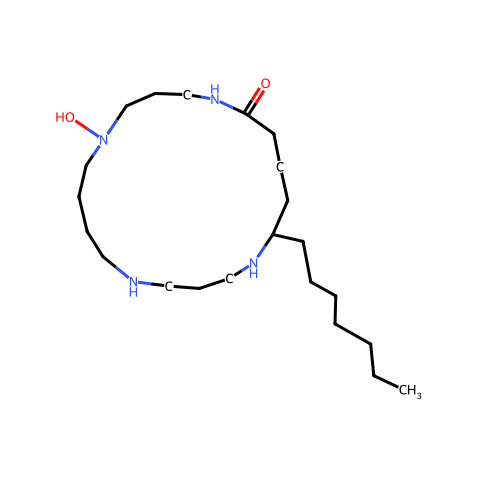 CCCCCCCC1CCCC(=O)NCCCN(O)CCCCNCCCN1